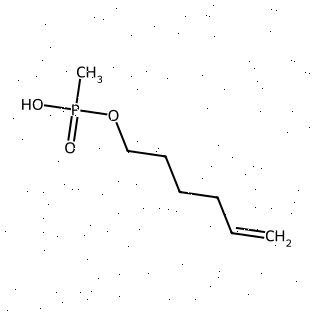 C=CCCCCOP(C)(=O)O